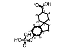 O=C(O)C1CCC2(CCc3cc(OP(=O)(O)O)ccc32)CC1